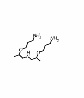 CC(CNCC(C)OCCCN)OCCCN